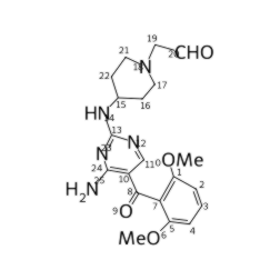 COc1cccc(OC)c1C(=O)c1cnc(NC2CCN(CC=O)CC2)nc1N